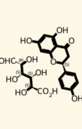 O=C1C[C@@H](c2ccc(O)cc2)Oc2cc(O)cc(O)c21.O=C[C@H](O)[C@@H](O)[C@H](O)[C@H](O)C(=O)O